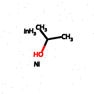 CC(C)O.[InH3].[Ni]